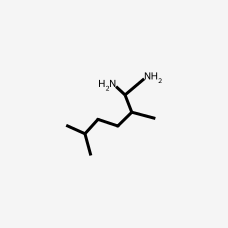 CC(C)CCC(C)C(N)N